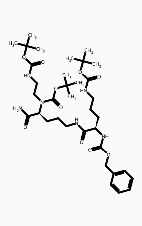 CC(C)(C)OC(=O)NCCC[C@@H](NC(=O)OCc1ccccc1)C(=O)NCCC[C@@H](C(N)=O)N(CCNC(=O)OC(C)(C)C)C(=O)OC(C)(C)C